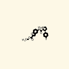 CCOC(=O)c1cc2cc(NC(=O)[C@H]3NCC[C@H]3c3ccc(F)cc3)ccc2o1